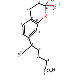 CCC(CCCC(=O)O)c1ccc2c(c1)OC(O)(O)CC2